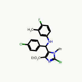 CCOC(=O)c1nc(Br)n(C(C)C)c1C(Nc1ccc(F)c(C)c1)c1ccc(Cl)cc1